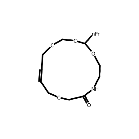 CCCC1CCCC/C=C\CCCC(=O)NCCO1